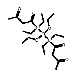 CC[O][Ti]([O]CC)([N+](CC)(CC)C(=O)CC(C)=O)[N+](CC)(CC)C(=O)CC(C)=O